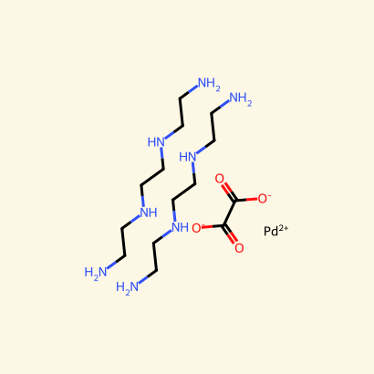 NCCNCCNCCN.NCCNCCNCCN.O=C([O-])C(=O)[O-].[Pd+2]